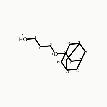 OCCCOC12CC3CC(CC(C3)C1)C2